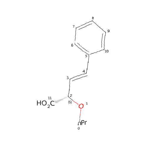 CCCO[C@@H](C=Cc1ccccc1)C(=O)O